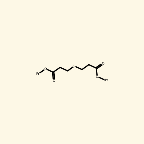 CC(C)OC(=O)CCSCCC(=O)OC(C)C